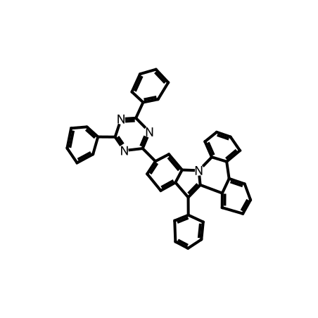 c1ccc(-c2nc(-c3ccccc3)nc(-c3ccc4c(-c5ccccc5)c5c6ccccc6c6ccccc6n5c4c3)n2)cc1